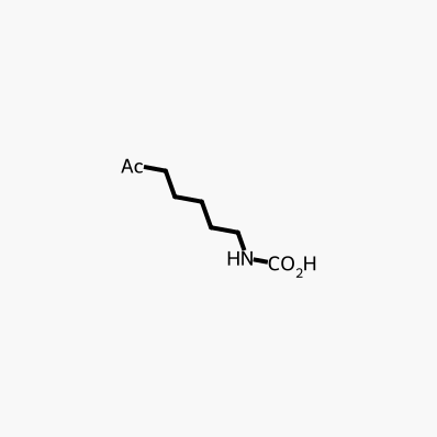 CC(=O)CCCCCNC(=O)O